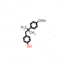 COc1ccc(C(C)(C)Cc2ccc(O)cc2)cc1